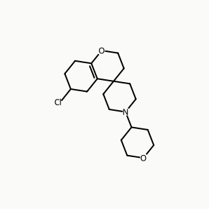 ClC1CCC2=C(C1)C1(CCO2)CCN(C2CCOCC2)CC1